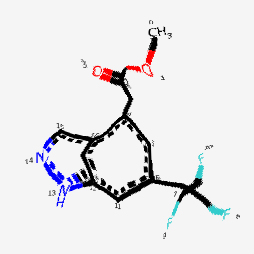 COC(=O)c1cc(C(F)(F)F)cc2[nH]ncc12